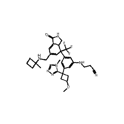 COC1CC(c2cc(NCCC#N)cc(C3(C(F)(F)F)C=C(CNC4(C)CCC4)C=C4C(=O)NCC43)c2)(c2nncn2C)C1